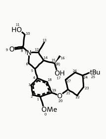 COc1ccc(C2CN(C(=O)CO)C(C)C2[C@@H](C)O)cc1OC1CCC(C(C)(C)C)CC1